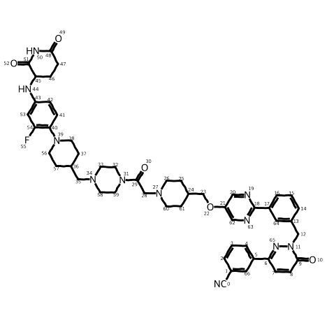 N#Cc1cccc(-c2ccc(=O)n(Cc3cccc(-c4ncc(OCC5CCN(CC(=O)N6CCN(CC7CCN(c8ccc(NC9CCC(=O)NC9=O)cc8F)CC7)CC6)CC5)cn4)c3)n2)c1